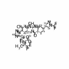 CNC(=N)N(C(=O)c1ccc(-c2cnn(C(F)F)c2)cc1)[C@H](COC(=O)N[C@@H](C)C(F)F)c1ccc(Cl)c(-n2ncnc2C(F)F)c1